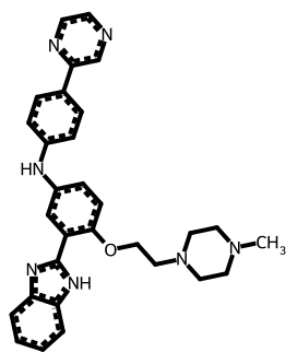 CN1CCN(CCOc2ccc(Nc3ccc(-c4cnccn4)cc3)cc2-c2nc3ccccc3[nH]2)CC1